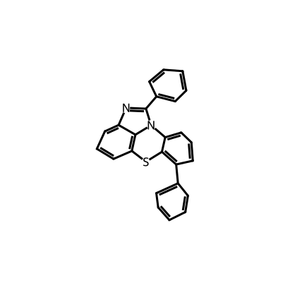 c1ccc(-c2cccc3c2Sc2cccc4nc(-c5ccccc5)n-3c24)cc1